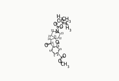 COC(=O)c1ccc2c(c1)OC1(CCN(C(=O)OC(C)(C)C)CC1)CC2=O